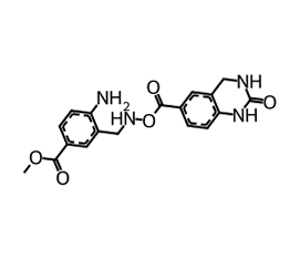 COC(=O)c1ccc(N)c(CNOC(=O)c2ccc3c(c2)CNC(=O)N3)c1